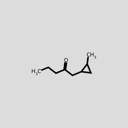 CCCC(=O)CC1CC1C